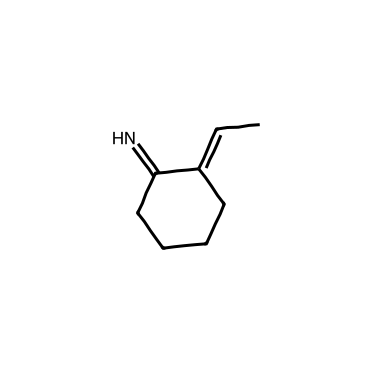 CC=C1CCCCC1=N